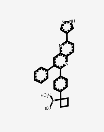 CC(C)(C)N(C(=O)O)C1(c2ccc(-c3nc4ccc(-c5cn[nH]c5)nc4cc3-c3ccccc3)cc2)CCC1